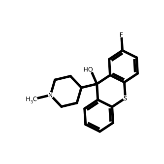 CN1CCC(C2(O)c3ccccc3Sc3ccc(F)cc32)CC1